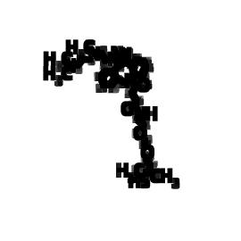 CN(C)CCCN(C)CCn1nnc2c1-c1ccccc1CN(C(=O)CCC(=O)NCCOCCOCCC(C)(C)S)c1ccccc1-2